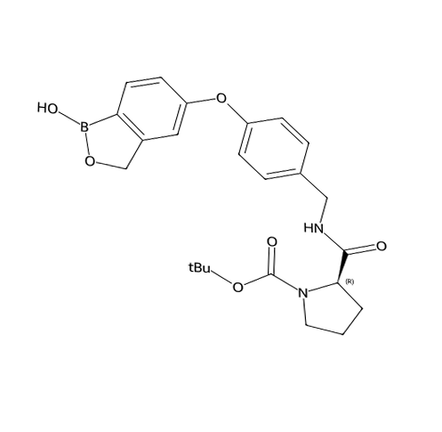 CC(C)(C)OC(=O)N1CCC[C@@H]1C(=O)NCc1ccc(Oc2ccc3c(c2)COB3O)cc1